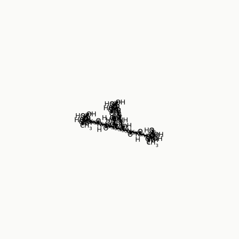 CC(=O)NC1[C@H](OCCCCC(=O)NCCCC(=O)NCCCN(CCCN(CCCNC(=O)CCCNC(=O)CCCCO[C@@H]2OC(CO)[C@H](O)[C@H](O)C2NC(C)=O)C(=O)C(O)COP(C)(=O)O)C(=O)CCCNC(=O)CCCCO[C@@H]2OC(CO)[C@H](O)[C@H](O)C2NC(C)=O)OC(CO)[C@H](O)[C@@H]1O